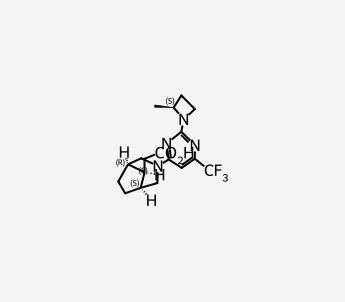 C[C@H]1CCN1c1nc(N2C[C@H]3CC[C@@H](C2)[C@H]3CC(=O)O)cc(C(F)(F)F)n1